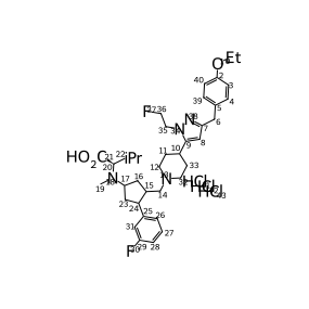 CCOc1ccc(Cc2cc(C3CCN(CC4CC(N(C)[C@@H](C(=O)O)C(C)C)CC4c4cccc(F)c4)CC3)n(CCF)n2)cc1.Cl.Cl.Cl